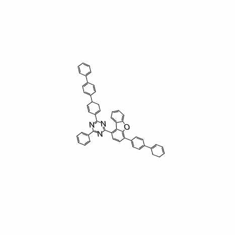 C1=CCCC(c2ccc(-c3ccc(-c4nc(C5=CCC(c6ccc(-c7ccccc7)cc6)C=C5)nc(-c5ccccc5)n4)c4c3oc3ccccc34)cc2)=C1